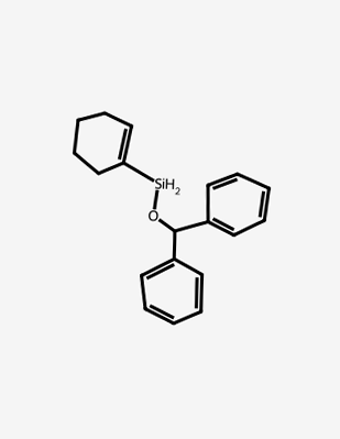 C1=C([SiH2]OC(c2ccccc2)c2ccccc2)CCCC1